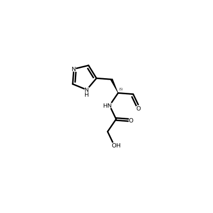 O=C[C@H](Cc1cnc[nH]1)NC(=O)CO